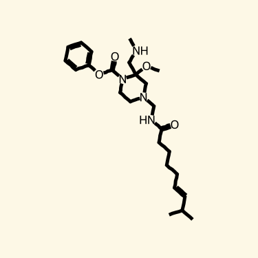 CNCC1(OC)CN(CNC(=O)CCCCC=CC(C)C)CCN1C(=O)Oc1ccccc1